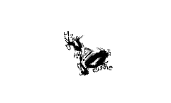 COc1c([C@@H]2C[C@H](C)O[C@H]2C(=O)Nc2ccnc(C(N)=O)c2)ccc(F)c1F